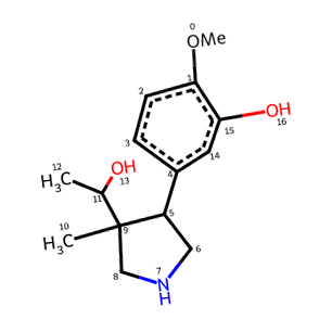 COc1ccc(C2CNCC2(C)C(C)O)cc1O